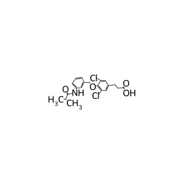 CC(C)C(=O)Nc1cccc(COc2c(Cl)cc(CCC(=O)O)cc2Cl)c1